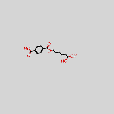 O=C(O)c1ccc(C(=O)OCCCCCC(O)O)cc1